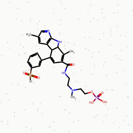 CCS(=O)(=O)c1cccc(C2=CC(C(=O)NCCN(C)CCOP(=O)(O)O)=C(C)C3Nc4ncc(C)cc4C23)c1